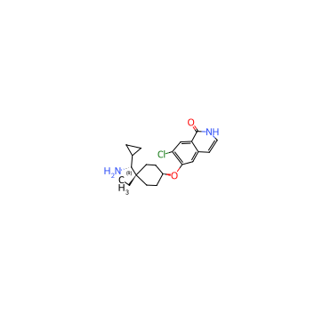 CC[C@]1([C@H](N)C2CC2)CC[C@H](Oc2cc3cc[nH]c(=O)c3cc2Cl)CC1